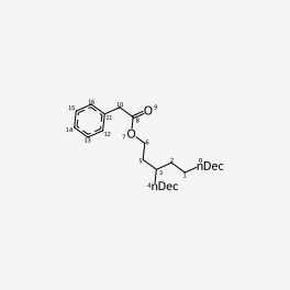 CCCCCCCCCCCCC(CCCCCCCCCC)CCOC(=O)Cc1ccccc1